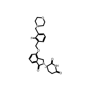 O=C1CC[C@H](N2Cc3c(OCc4cccc(CN5CCOCC5)c4F)cccc3C2=O)C(=O)N1